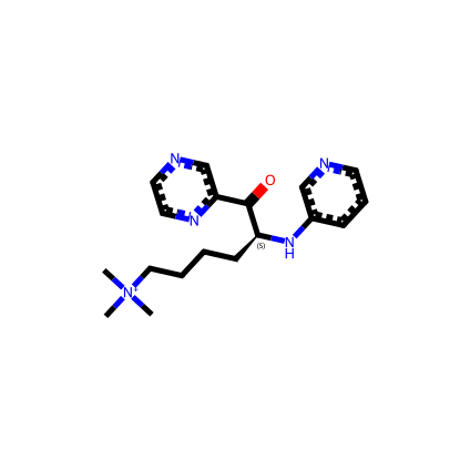 C[N+](C)(C)CCCC[C@H](Nc1cccnc1)C(=O)c1cnccn1